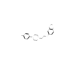 Fc1ccc(N2CCN(CCNc3ccc4c(c3)OCO4)CC2)cc1